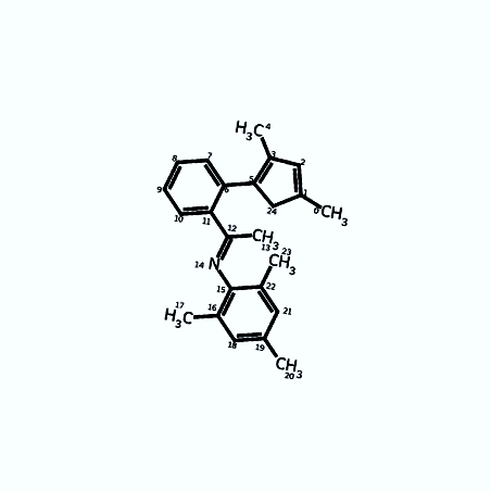 CC1=CC(C)=C(c2ccccc2/C(C)=N/c2c(C)cc(C)cc2C)C1